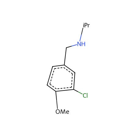 COc1ccc(CNC(C)C)cc1Cl